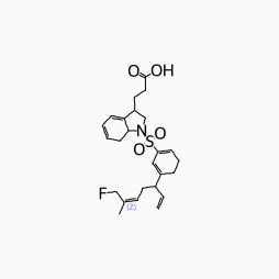 C=CC(C/C=C(/C)CF)C1=CC(S(=O)(=O)N2CC(CCC(=O)O)C3=CC=CCC32)=CCC1